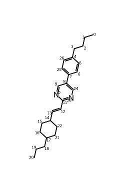 CCCCc1ccc(-c2cnc(C=CC3CCC(CCC)CC3)nc2)cc1